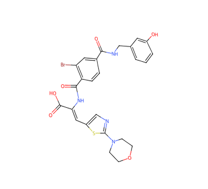 O=C(O)C(=Cc1cnc(N2CCOCC2)s1)NC(=O)c1ccc(C(=O)NCc2cccc(O)c2)cc1Br